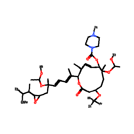 CCOC(C)OC(C)(/C=C/C=C(\C)C1OC(=O)CC(O[Si](CC)(CC)C(C)C)CCC(C)(OC(C)OCC)C(OC(=O)N2CCN(C(C)C)CC2)/C=C/C1C)CC1OC1C(C)C(CC)OC